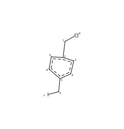 ClCc1ccc(CI)cc1